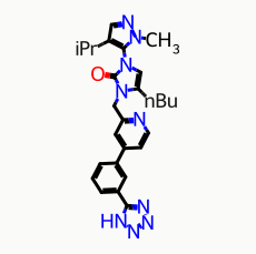 CCCCc1cn(-c2c(C(C)C)cnn2C)c(=O)n1Cc1cc(-c2cccc(-c3nnn[nH]3)c2)ccn1